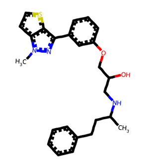 CC(CCc1ccccc1)NCC(O)COc1cccc(-c2nn(C)c3ccsc23)c1